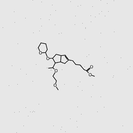 COCCOC(C)C1C(OC2CCCCO2)CC2C=C(CCCCC(=O)OC)CC21